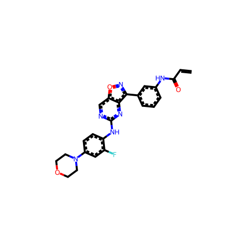 C=CC(=O)Nc1cccc(-c2noc3cnc(Nc4ccc(N5CCOCC5)cc4F)nc23)c1